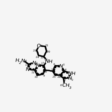 Cc1n[nH]c2ncc(-c3ccc4nc(N)nn4c3NC3CCOCC3)cc12